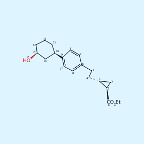 CCOC(=O)[C@@H]1C[C@H]1CCc1ccc([C@@H]2CCC[C@H](O)C2)cc1